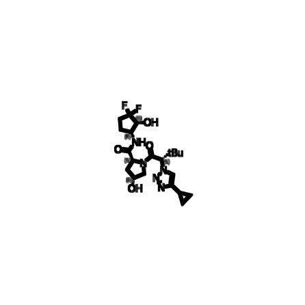 CC(C)(C)[C@@H](C(=O)N1C[C@H](O)C[C@H]1C(=O)N[C@@H]1CCC(F)(F)[C@H]1O)n1cc(C2CC2)nn1